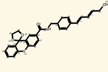 O=C(NCC1C=CC(/C=C/C=C/CO)=CC1)c1ccc2c(c1)C1(OCCO1)c1ccccc1S2